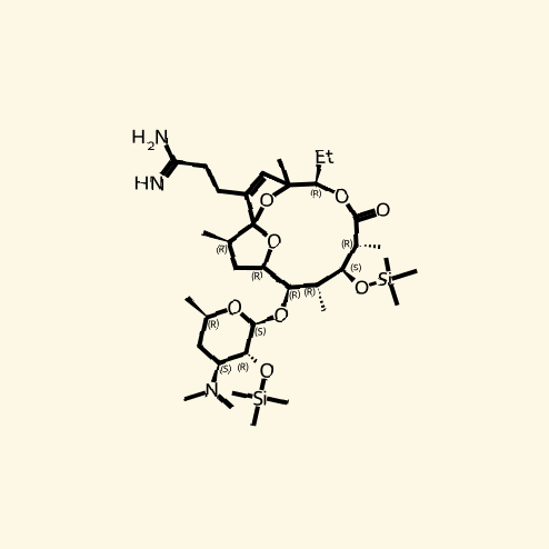 CC[C@H]1OC(=O)[C@H](C)[C@@H](O[Si](C)(C)C)[C@H](C)[C@@H](O[C@@H]2O[C@H](C)C[C@H](N(C)C)[C@H]2O[Si](C)(C)C)[C@@]2(C)C[C@@H](C)C3(OC1(C)C=C3CCC(=N)N)O2